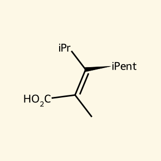 CCC[C@H](C)C(=C(C)C(=O)O)C(C)C